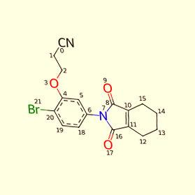 N#CCCOc1cc(N2C(=O)C3=C(CCCC3)C2=O)ccc1Br